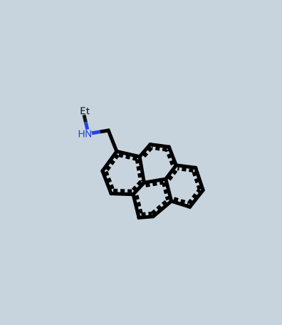 CCNCc1ccc2ccc3cccc4ccc1c2c34